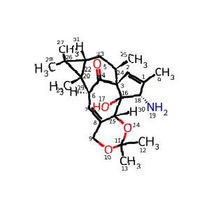 CC1=C[C@]23C(=O)[C@@H](C=C4COC(C)(C)O[C@H]4C2(O)[C@H]1N)[C@@]1(C)[C@@H](C[C@H]3C)C1(C)C